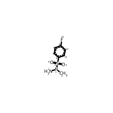 CN(N)S(=O)(=O)c1ccc(F)cc1